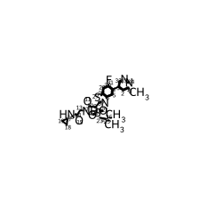 Cc1cc(-c2cc3nc(C(C(=O)NCC(=O)NC4CC4)S(=O)(=O)CC(C)C)sc3cc2F)cnn1